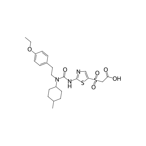 CCOc1ccc(CCN(C(=O)Nc2ncc(S(=O)(=O)CC(=O)O)s2)C2CCC(C)CC2)cc1